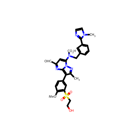 COc1ccc(-c2c(C)nn3c(N(Cc4cccc(-c5nccn5C)c4)C(=O)O)cc(C=O)nc23)cc1S(=O)(=O)CCO